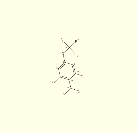 Cc1cc(OC(F)(F)F)cc(C)c1C(C)C